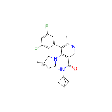 Cc1ncc(C(=O)NC23CC(C2)C3)c(N2CC[C@@H](C)C2)c1-c1cc(F)cc(F)c1